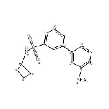 CC(=O)Nc1cc(-c2cncc(S(=O)(=O)NC3CCC3)c2)ccn1